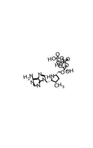 C[C@H]1C[C@@H](COP(=O)(O)OP(=O)(O)OP(=O)(O)O)N[C@H]1Cn1cnc2c(N)ncnc21